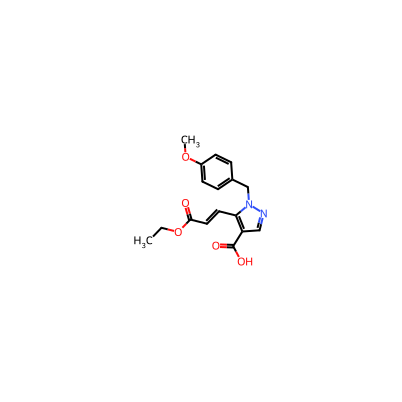 CCOC(=O)C=Cc1c(C(=O)O)cnn1Cc1ccc(OC)cc1